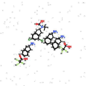 CC(C)(C)N(C(=O)O)C1Cc2cc(Cl)cc(Cl)c2C1.NC1=Cc2ccccc2C1.NC1=Cc2ccccc2C1.NC1=Cc2ccccc2C1.O=C(O)C(F)(F)F.O=C(O)C(F)(F)F